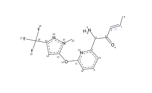 C/C=C/C(=O)C(N)c1cccc(Oc2cc(C(F)(F)F)nn2C)n1